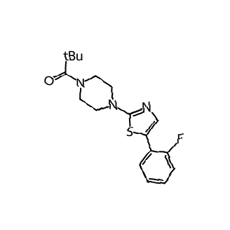 CC(C)(C)C(=O)N1CCN(c2ncc(-c3ccccc3F)s2)CC1